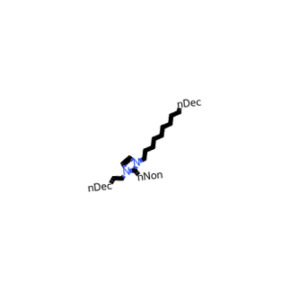 CCCCCCCCCCCCCCCCCCCN1C=CN(CCCCCCCCCCCC)C1CCCCCCCCC